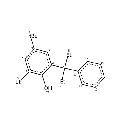 CCc1cc(C(C)(C)C)cc(C(CC)(CC)c2ccccc2)c1O